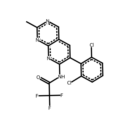 Cc1ncc2cc(-c3c(Cl)cccc3Cl)c(NC(=O)C(F)(F)F)nc2n1